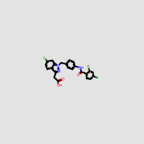 O=C(O)Cc1nn(Cc2ccc(NC(=O)c3ccc(F)cc3F)cc2)c2cc(F)ccc12